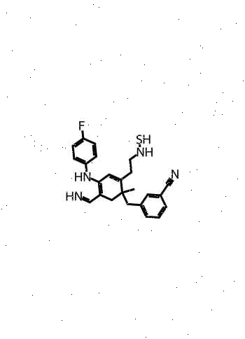 CC1(Cc2cccc(C#N)c2)CC(C=N)=C(Nc2ccc(F)cc2)C=C1CCNS